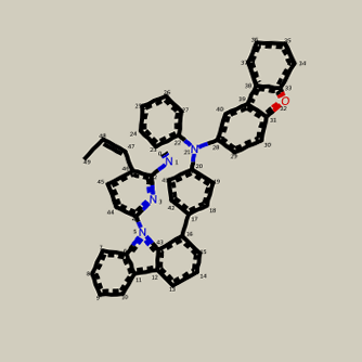 C=Nc1nc(-n2c3ccccc3c3cccc(-c4ccc(N(c5ccccc5)c5ccc6oc7ccccc7c6c5)cc4)c32)ccc1/C=C\C